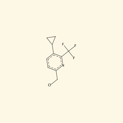 FC(F)(F)c1nc(CCl)ccc1C1CC1